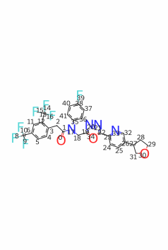 O=C(Cc1ccc(C(F)(F)F)cc1C(F)(F)F)N(Cc1nnc(-c2ccc(C3CCOC3)cn2)o1)c1ccc(F)cc1